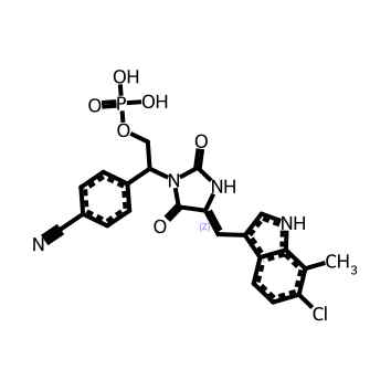 Cc1c(Cl)ccc2c(/C=C3\NC(=O)N(C(COP(=O)(O)O)c4ccc(C#N)cc4)C3=O)c[nH]c12